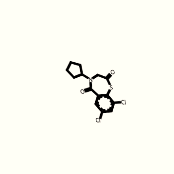 O=C1CN(C2CCCC2)C(=O)c2cc(Cl)cc(Cl)c2S1